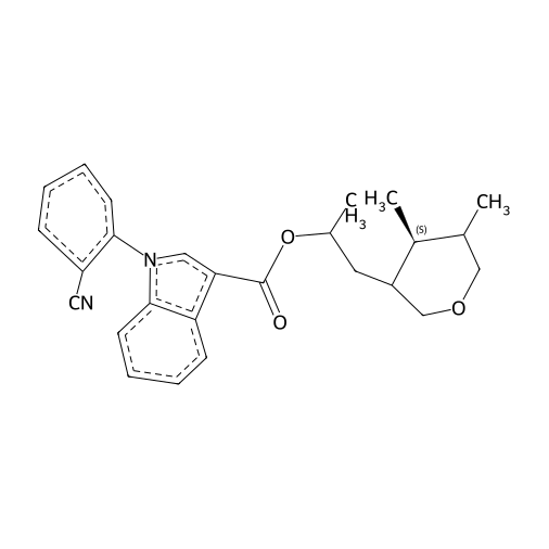 CC(CC1COCC(C)[C@@H]1C)OC(=O)c1cn(-c2ccccc2C#N)c2ccccc12